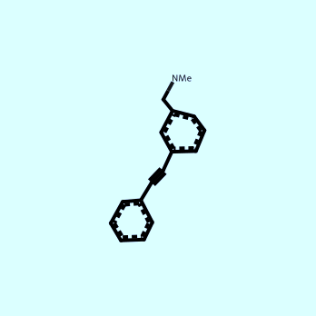 CNCc1cccc(C#Cc2ccccc2)c1